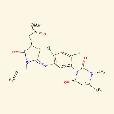 C=CCN1C(=O)C(CC(=O)OC)SC1=Nc1cc(-n2c(=O)cc(C(F)(F)F)n(C)c2=O)c(F)cc1Cl